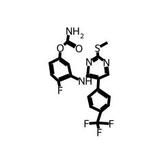 CSc1ncc(-c2ccc(C(F)(F)F)cc2)c(Nc2cc(OC(N)=O)ccc2F)n1